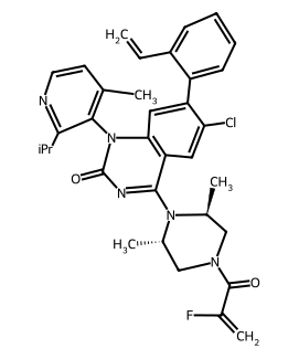 C=Cc1ccccc1-c1cc2c(cc1Cl)c(N1[C@@H](C)CN(C(=O)C(=C)F)C[C@@H]1C)nc(=O)n2-c1c(C)ccnc1C(C)C